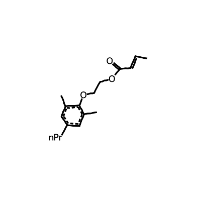 CC=CC(=O)OCCOc1c(C)cc(CCC)cc1C